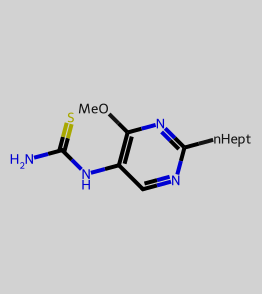 CCCCCCCc1ncc(NC(N)=S)c(OC)n1